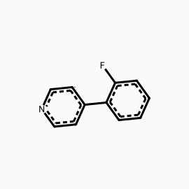 Fc1ccccc1-c1[c]cncc1